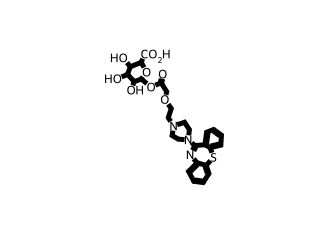 O=C(COCCN1CCN(C2=Nc3ccccc3Sc3ccccc32)CC1)OC1OC(C(=O)O)C(O)C(O)C1O